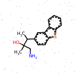 CC(c1ccc2sc3ccccc3c2c1)C(C)(O)CN